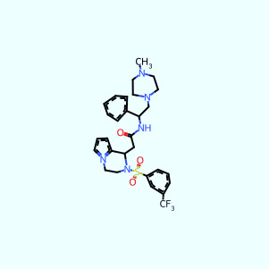 CN1CCN(CC(NC(=O)CC2c3cccn3CCN2S(=O)(=O)c2cccc(C(F)(F)F)c2)c2ccccc2)CC1